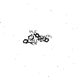 C#CC1=CCCC=C1N1CCN(Cc2cc(C(=C)N3CCN(C4=CCCC=C4C(=C)C)CC3)c(C)cc2C)CC1